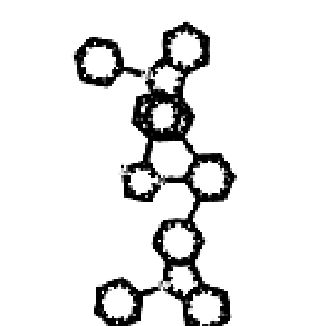 c1ccc(-c2nccn2-c2c(-c3ccc4c(c3)c3ccccc3n4-c3ccccc3)cccc2-c2ccc3c(c2)c2ccccc2n3-c2ccccc2)cc1